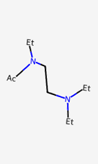 CCN(CC)CCN(CC)C(C)=O